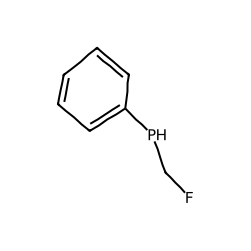 FCPc1ccccc1